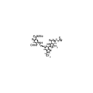 CNC(=O)c1cc(NCC#Cc2cc(C(=O)N[C@@H]3[C@@H](C)CN(CCC(F)F)C[C@@H]3F)c3ncn(CC(F)(F)F)c3c2)c(OC)cc1F